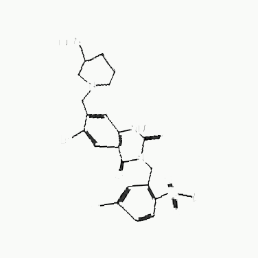 CCS(=O)(=O)c1ccc(Cl)cc1Cn1c(=O)[nH]c2cc(CN3CCCC(N)C3)c(Br)cc2c1=O